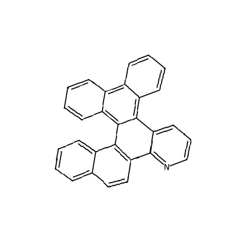 c1ccc2c(c1)ccc1c3ncccc3c3c4ccccc4c4ccccc4c3c21